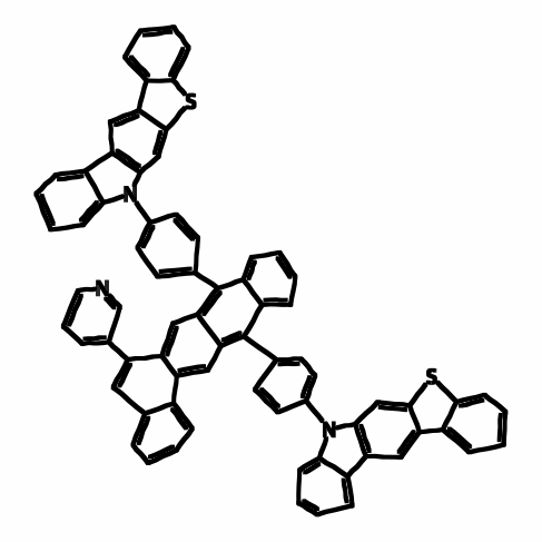 c1cncc(-c2cc3ccccc3c3cc4c(-c5ccc(-n6c7ccccc7c7cc8c(cc76)sc6ccccc68)cc5)c5ccccc5c(-c5ccc(-n6c7ccccc7c7cc8c(cc76)sc6ccccc68)cc5)c4cc23)c1